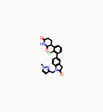 Cn1ccc(CN2C(=O)Cc3cc(-c4cccc(C5CCC(=O)NC5=O)c4Cl)ccc32)n1